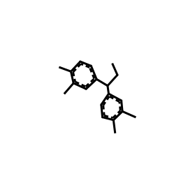 CCC(c1ccc(C)c(C)c1)c1ccc(C)c(C)c1